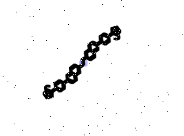 C(=C\c1ccc2cc(-c3ccc(-c4cccs4)cc3)ccc2c1)/c1ccc2cc(-c3ccc(-c4cccs4)cc3)ccc2c1